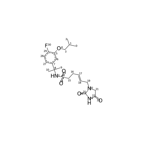 CC(C)COc1cc(C(C)(C)NS(=O)(=O)CC/C=C/CN2CC(=O)NC2=O)ccc1F